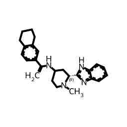 C=C(NC1CCN(C)[C@@H](c2nc3ccccc3[nH]2)C1)c1ccc2c(c1)CCCC2